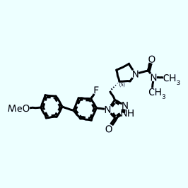 COc1ccc(-c2ccc(-n3c(C[C@@H]4CCN(C(=O)N(C)C)C4)n[nH]c3=O)c(F)c2)cc1